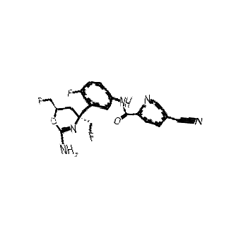 N#Cc1ccc(C(=O)Nc2ccc(F)c([C@]3(CF)C[C@H](CF)OC(N)=N3)c2)nc1